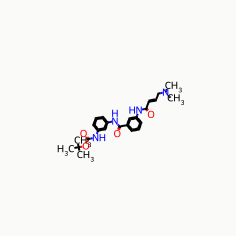 CN(C)CC=CC(=O)Nc1cccc(C(=O)Nc2cccc(NC(=O)OC(C)(C)C)c2)c1